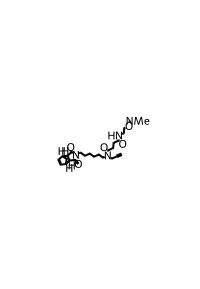 C#CCN(CCCCCCN1C(=O)[C@@H]2[C@H](C1=O)[C@H]1C=C[C@@H]2C1)C(=O)CCC(=O)NCCONC